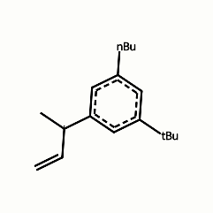 C=C[C](C)c1cc(CCCC)cc(C(C)(C)C)c1